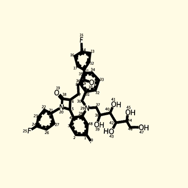 [CH2]c1ccc(C2C(CCC(O)c3ccc(F)cc3)C(=O)N2c2ccc(F)cc2)c(N(Cc2ccccc2)CC(O)C(O)C(O)C(O)CO)c1